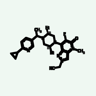 CC[C@H]1CN(C(C)c2ccc(C3CC3)nc2)[C@H](CC)CN1c1c(F)c(=O)n(C)c2cn(CC#N)nc12